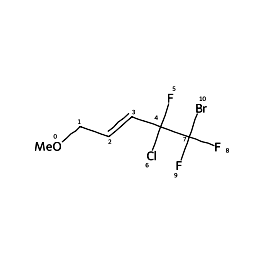 [CH2]OCC=CC(F)(Cl)C(F)(F)Br